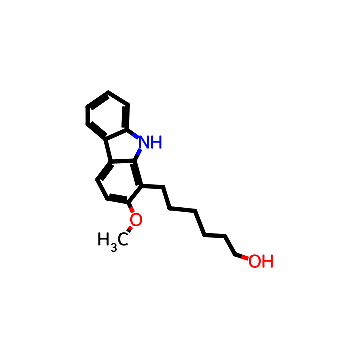 COc1ccc2c([nH]c3ccccc32)c1CCCCCCO